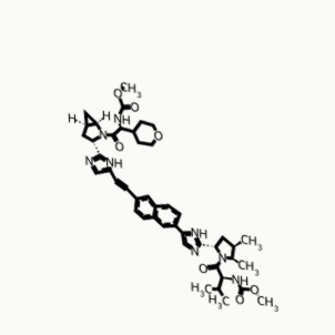 COC(=O)N[C@H](C(=O)N1[C@H](C)[C@H](C)C[C@H]1c1ncc(-c2ccc3cc(C#Cc4cnc([C@@H]5C[C@H]6C[C@H]6N5C(=O)[C@@H](NC(=O)OC)C5CCOCC5)[nH]4)ccc3c2)[nH]1)C(C)C